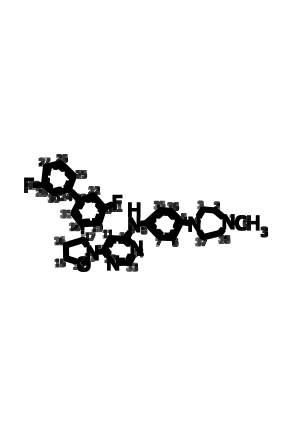 CN1CCN(c2ccc(Nc3cc(N4OCC[C@@H]4c4cc(F)cc(-c5cccc(F)c5)c4)ncn3)cc2)CC1